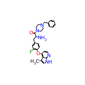 Cc1c[nH]c2nccc(Oc3ccc(CC(N)C(=O)N4CCN(Cc5ccccc5)CC4)cc3F)c12